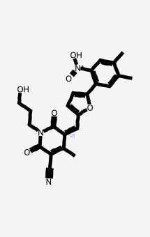 CC1=C(C#N)C(=O)N(CCCO)C(=O)/C1=C\c1ccc(-c2cc(C)c(C)cc2[N+](=O)O)o1